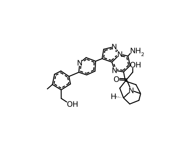 Cc1ccc(-c2ccc(-c3cnn4c(N)cc(C5CC6CC[C@@H](C5)N6C(=O)CO)nc34)cn2)cc1CO